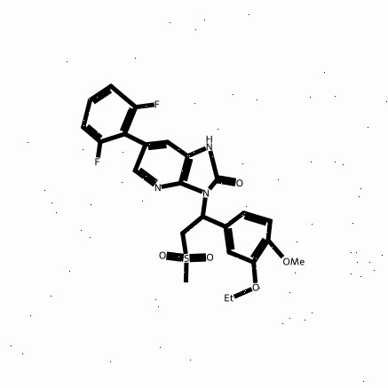 CCOc1cc(C(CS(C)(=O)=O)n2c(=O)[nH]c3cc(-c4c(F)cccc4F)cnc32)ccc1OC